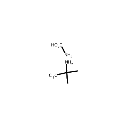 CC(C)(N)C(Cl)(Cl)Cl.NC(=O)O